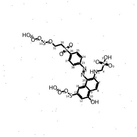 O=S(=O)(O)CNc1ccc2c(O)cc(SOOO)cc2c1/N=N/c1ccc(S(=O)(=O)CCOSOOO)cc1